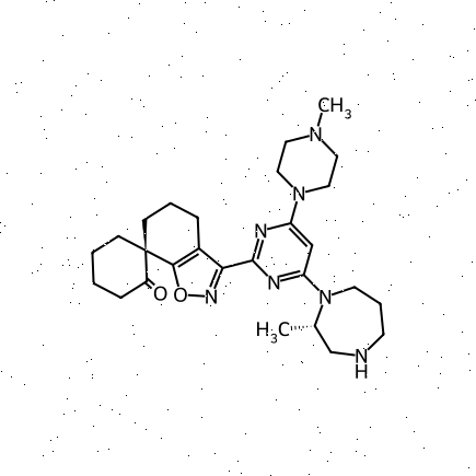 C[C@H]1CNCCCN1c1cc(N2CCN(C)CC2)nc(-c2noc3c2CCC[C@@]32CCCCC2=O)n1